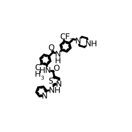 Cc1ccc(C(=O)Nc2ccc(CN3CCNCC3)c(C(F)(F)F)c2)cc1NC(=O)c1cnc(Nc2ccccn2)s1